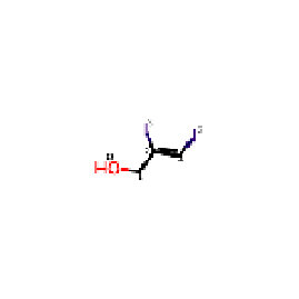 OCC(I)=CI